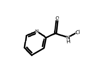 O=C(NCl)c1ccccn1